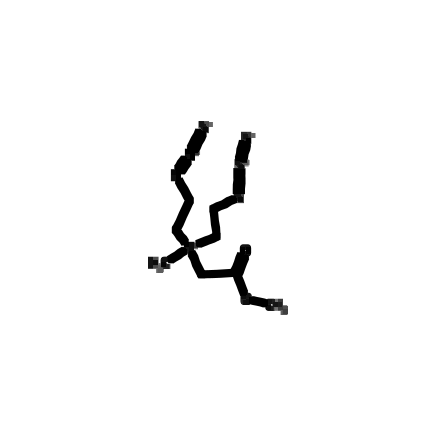 COC(=O)C[N+](C)(CCN=[N+]=[N-])CCN=[N+]=[N-]